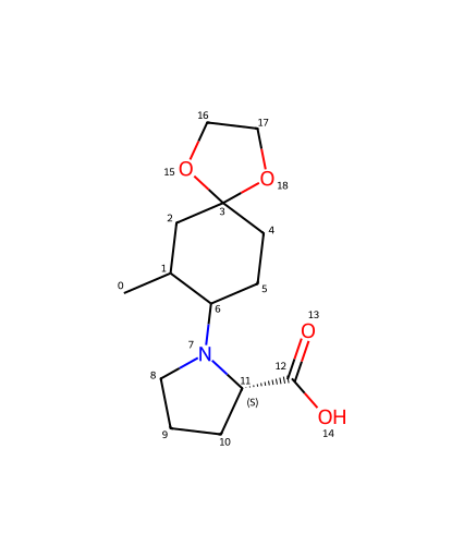 CC1CC2(CCC1N1CCC[C@H]1C(=O)O)OCCO2